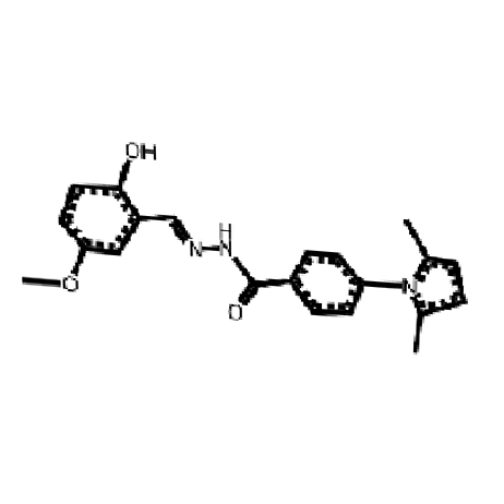 COc1ccc(O)c(/C=N/NC(=O)c2ccc(-n3c(C)ccc3C)cc2)c1